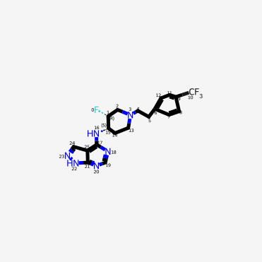 F[C@@H]1CN(CCc2ccc(C(F)(F)F)cc2)CC[C@@H]1Nc1ncnc2[nH]ncc12